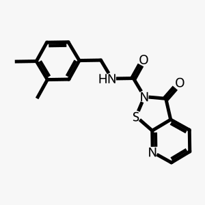 Cc1ccc(CNC(=O)n2sc3ncccc3c2=O)cc1C